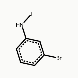 Brc1cccc(NI)c1